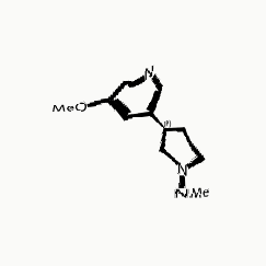 CNN1CC[C@H](c2cncc(OC)c2)C1